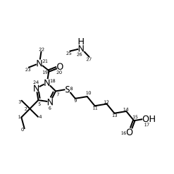 CCC(C)(C)c1nc(SCCCCCCC(=O)O)n(C(=O)N(C)C)n1.CNC